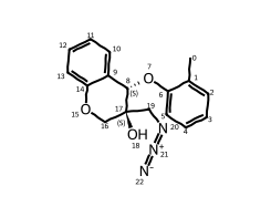 Cc1ccccc1O[C@H]1c2ccccc2OC[C@@]1(O)CN=[N+]=[N-]